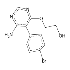 Nc1ncnc(OCCO)c1-c1ccc(Br)cc1